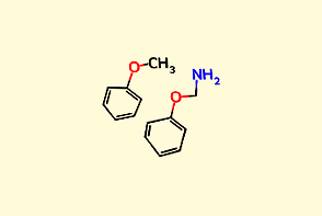 COc1ccccc1.NCOc1ccccc1